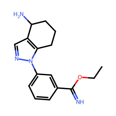 CCOC(=N)c1cccc(-n2ncc3c2CCCC3N)c1